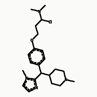 CN1CCC(C(c2ccc(OCCC(Cl)N(C)C)cc2)c2nccn2C)CC1